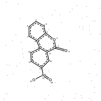 O=c1oc2ncccc2c2ccc([N+](=O)[O-])cc12